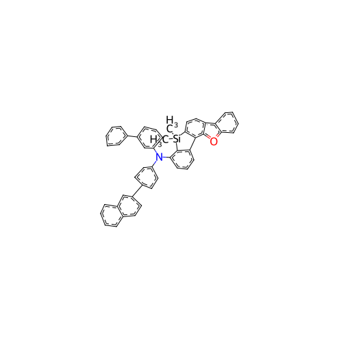 C[Si]1(C)c2ccc3c(oc4ccccc43)c2-c2cccc(N(c3ccc(-c4ccc5ccccc5c4)cc3)c3cccc(-c4ccccc4)c3)c21